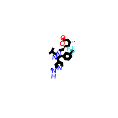 CNc1cc(-c2nc(C(C)C)n(/C=C/[C@@H]3C[C@@H](C)CC(=O)O3)c2-c2cccc(C(F)(F)F)c2)ccn1